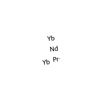 [Nd].[Pr].[Yb].[Yb]